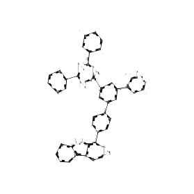 c1ccc(-c2nc(-c3ccccc3)nc(-c3cc(-c4ccc(-c5nccc6c5oc5ccccc56)cc4)cc(-c4cccnc4)c3)n2)cc1